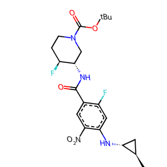 C[C@@H]1C[C@H]1Nc1cc(F)c(C(=O)N[C@H]2CN(C(=O)OC(C)(C)C)CC[C@@H]2F)cc1[N+](=O)[O-]